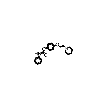 O=C(Nc1ccccc1)Oc1ccc(OCCN2CCCCC2)cc1